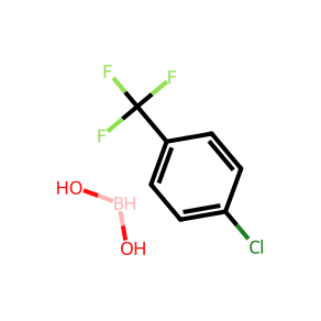 FC(F)(F)c1ccc(Cl)cc1.OBO